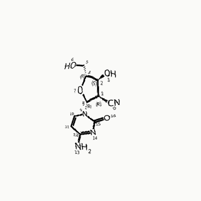 N#C[C@@H]1[C@H](O)[C@@H](CO)O[C@H]1n1ccc(N)nc1=O